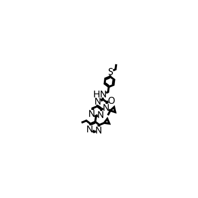 CCSc1ccc(CNc2nc3cnc(-c4c(CC)ncnc4C4CC4)nc3n(C3(C)CC3)c2=O)cc1